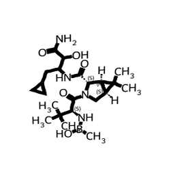 CB(O)N[C@H](C(=O)N1C[C@H]2[C@@H]([C@H]1C(=O)NC(CC1CC1)C(O)C(N)=O)C2(C)C)C(C)(C)C